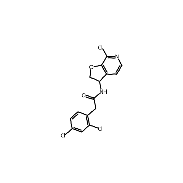 O=C(Cc1ccc(Cl)cc1Cl)NC1COc2c1ccnc2Cl